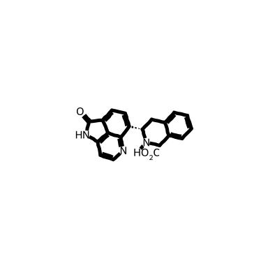 O=C1Nc2ccnc3c([C@@H]4Cc5ccccc5CN4C(=O)O)ccc1c23